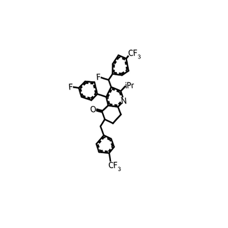 CC(C)c1nc2c(c(-c3ccc(F)cc3)c1C(F)c1ccc(C(F)(F)F)cc1)C(=O)C(Cc1ccc(C(F)(F)F)cc1)CC2